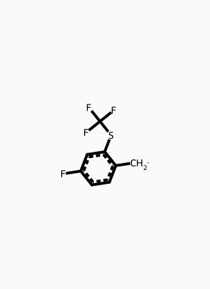 [CH2]c1ccc(F)cc1SC(F)(F)F